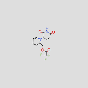 O=C1CCC(N2C=CC=CC2COC(=O)C(F)(F)F)C(=O)N1